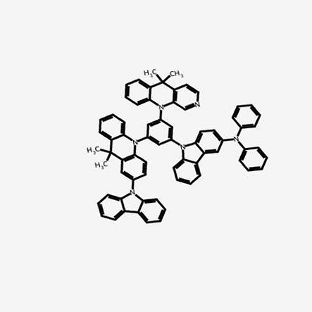 CC1(C)c2ccccc2N(c2cc(N3c4ccccc4C(C)(C)c4cc(-n5c6ccccc6c6ccccc65)ccc43)cc(-n3c4ccccc4c4cc(N(c5ccccc5)c5ccccc5)ccc43)c2)c2cnccc21